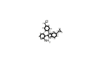 Nc1ncccc1-c1nc2ccc(C3CC3)nc2n1-c1ccc(CCl)cc1